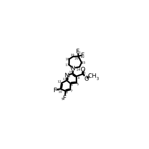 COC(=O)c1cc2cc(F)c(F)cc2nc1N1CCCC(F)(F)CC1